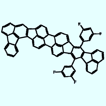 Fc1cc(F)cc(-c2c3c4cccc5cccc(c3c(-c3cc(F)cc(F)c3)c3c6ccc7c8ccc9c%10c(ccc(c%11ccc(c23)c6c%117)c8%10)c2cc3cccc6c7ccccc7c(c36)c29)c54)c1